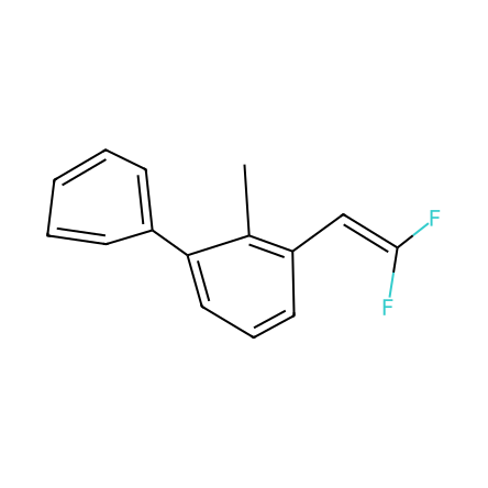 Cc1c(C=C(F)F)cccc1-c1ccccc1